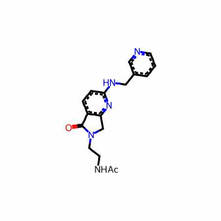 CC(=O)NCCN1Cc2nc(NCc3cccnc3)ccc2C1=O